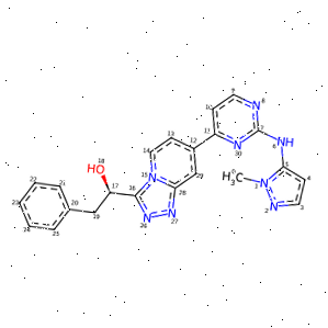 Cn1nccc1Nc1nccc(-c2ccn3c([C@H](O)Cc4ccccc4)nnc3c2)n1